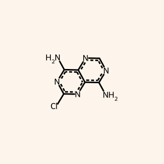 Nc1nc(Cl)nc2c(N)ncnc12